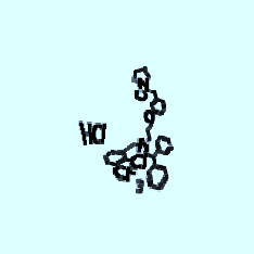 Cl.O=C(Cc1cccc(OCCCN(Cc2cccc(C(F)(F)F)c2Cl)CC(c2ccccc2)c2ccccc2)c1)N1CCCC1